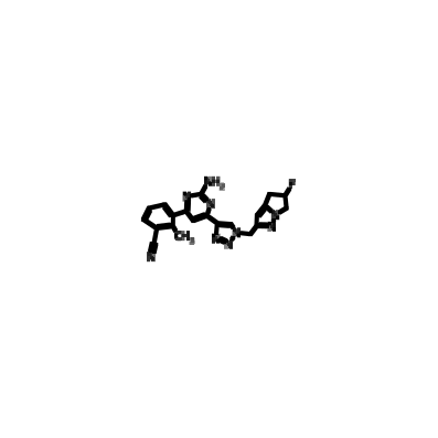 Cc1c(C#N)cccc1-c1cc(-c2cn(Cc3cc4n(n3)CC(F)C4)nn2)nc(N)n1